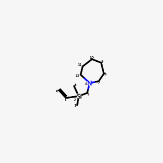 C=C[Si](C)(C)CN1CCCCCC1